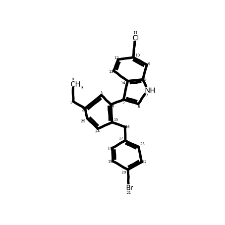 CCc1[c]c(-c2c[nH]c3cc(Cl)ccc23)c(Cc2ccc(Br)cc2)cc1